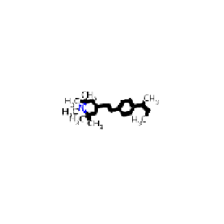 C/C=C(/C)c1ccc(/C=C/C2CC(C)(C)N(C)C(C)(C)C2)cc1